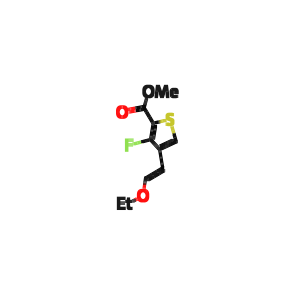 CCOC=Cc1csc(C(=O)OC)c1F